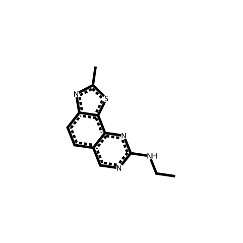 CCNc1ncc2ccc3nc(C)sc3c2n1